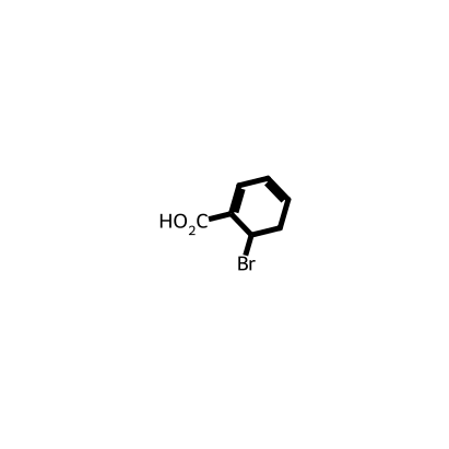 O=C(O)C1=CC=CCC1Br